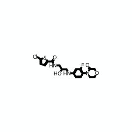 O=C(NCC(O)CNc1ccc(N2CCOCC2=O)c(F)c1)c1ccc(Cl)s1